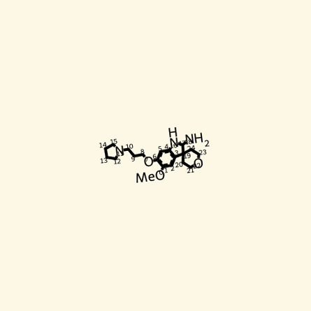 COc1cc2c(cc1OCCCN1CCCC1)NC(N)C21CCOCC1